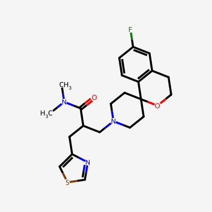 CN(C)C(=O)C(Cc1cscn1)CN1CCC2(CC1)OCCc1cc(F)ccc12